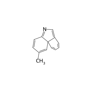 CC1=CC23C=CC=CC2=CN=C3C=C1